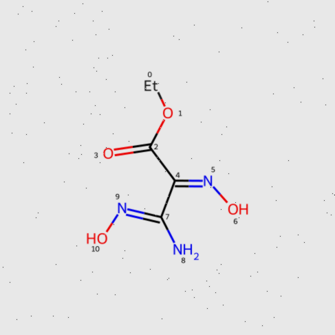 CCOC(=O)C(=NO)C(N)=NO